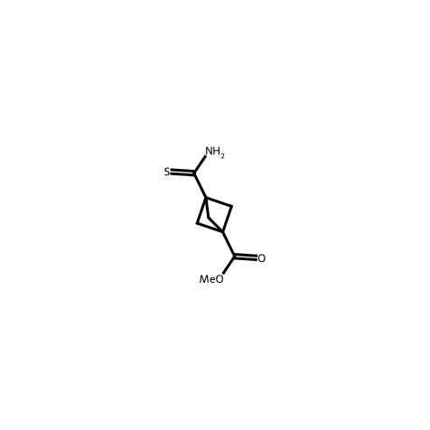 COC(=O)C12CC(C(N)=S)(C1)C2